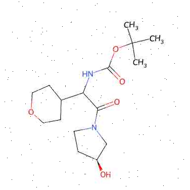 CC(C)(C)OC(=O)NC(C(=O)N1CC[C@H](O)C1)C1CCOCC1